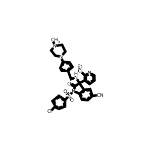 CCOc1ncccc1C1(NCc2ccc(N3CCN(C)CC3)cc2)C(=O)N(S(=O)(=O)c2ccc(Cl)cc2)c2ccc(C#N)cc21